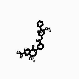 CCNc1ncc2c(n1)N(C)CCN(c1cccc(N/C=C(\C=N)CN(C)Cc3ccccc3)c1)C2=O